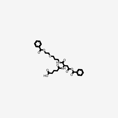 O=C(O)CCCC(=O)NC(CC(=O)OC(=O)c1ccccc1)C(=O)NCCCOCCOC(=O)c1ccccc1